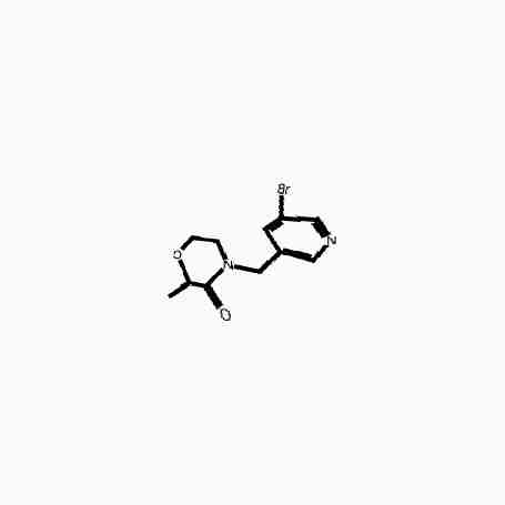 CC1OCCN(Cc2cncc(Br)c2)C1=O